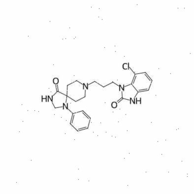 O=C1NCN(c2ccccc2)C12CCN(CCCn1c(=O)[nH]c3cccc(Cl)c31)CC2